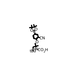 CC(C)CC(C)(COc1ccc(B2OC(C)(C)C(C)(C)O2)cc1C#N)N(C(=O)O)C(C)(C)C